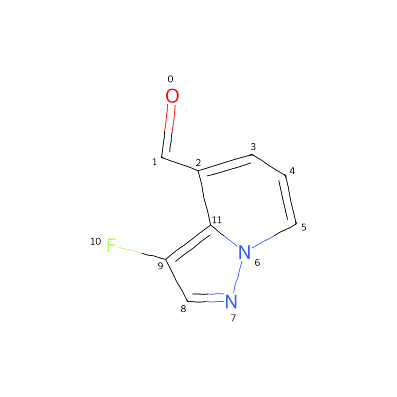 O=Cc1cccn2ncc(F)c12